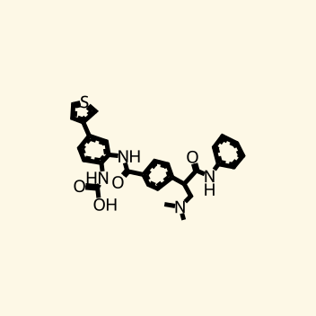 CN(C)CC(C(=O)Nc1ccccc1)c1ccc(C(=O)Nc2cc(-c3ccsc3)ccc2NC(=O)O)cc1